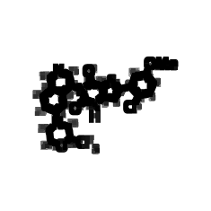 COc1ccc(Cl)c(-c2cc3[nH]c(=O)n(-c4cncc5ccc(N6CCO[C@H](C(F)(F)F)C6)cc45)c(=O)c3s2)c1